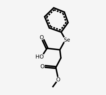 COC(=O)CC([Se]c1ccccc1)C(=O)O